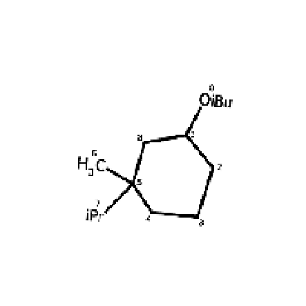 C[C](C)COC1CCCC(C)(C(C)C)C1